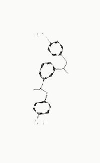 CC(Cc1ccc(N)cc1)c1cccc(C(C)Cc2ccc(N)cc2)c1